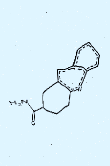 NC(=O)C1CCc2nc3ccccc3cc2C1